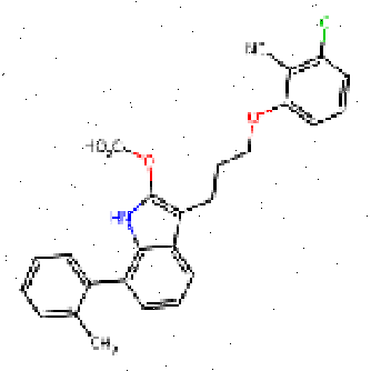 Cc1ccccc1-c1cccc2c(CCCOc3cccc(Cl)c3C#N)c(OC(=O)O)[nH]c12